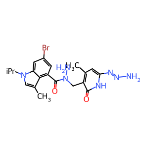 Cc1cc(N=NN)[nH]c(=O)c1CN(N)C(=O)c1cc(Br)cc2c1c(C)cn2C(C)C